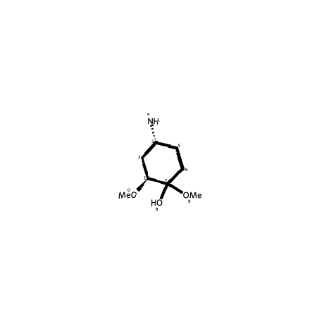 CO[C@H]1C[C@H]([NH])CCC1(O)OC